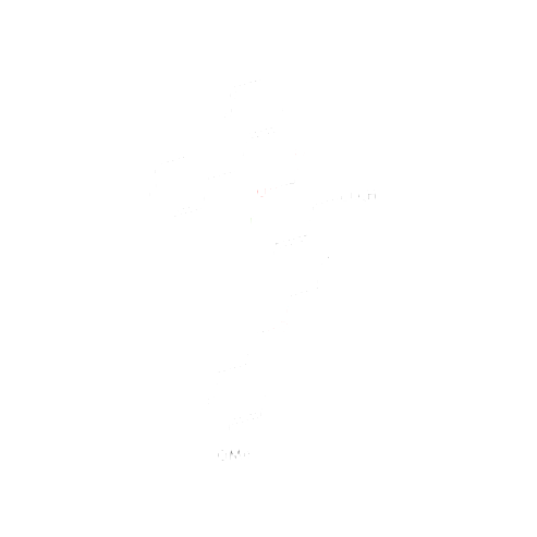 COc1ccc(COc2ccc(C(C(=O)O)C(=O)OC(c3ccccc3)c3ccccc3)c(F)c2)cc1